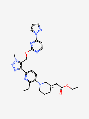 CCOC(=O)C[C@H]1CCCN(c2ccc(-c3nnn(C)c3COc3nccc(-n4cccn4)n3)nc2CC)C1